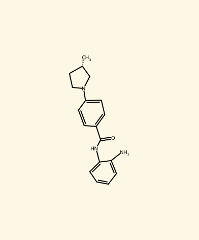 C[C@H]1CCN(c2ccc(C(=O)Nc3ccccc3N)cc2)C1